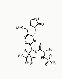 COCC(=O)[C@H](C[C@@H]1CCNC1=O)NC(=O)[C@@H]1[C@@H]2[C@H](CN1C(=O)[C@@H](NS(=O)(=O)C(F)(F)F)C(C)(C)C)C2(C)C